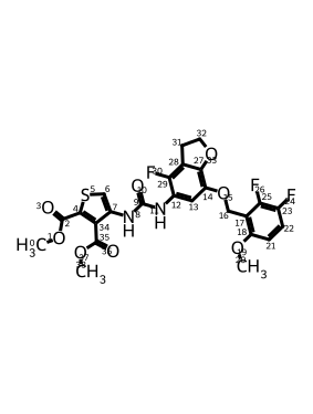 COC(=O)c1scc(NC(=O)Nc2cc(OCc3c(OC)ccc(F)c3F)c3c(c2F)CCO3)c1C(=O)OC